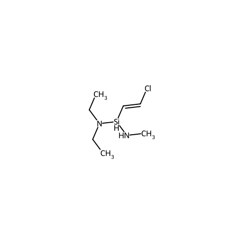 CCN(CC)[SiH](C=CCl)NC